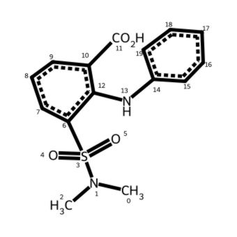 CN(C)S(=O)(=O)c1cccc(C(=O)O)c1Nc1ccccc1